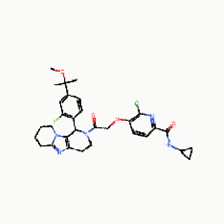 COC(C)(C)c1ccc(C2c3c(nc4n3CCCC4)CCN2C(=O)COc2ccc(C(=O)NC3CC3)nc2Cl)c(F)c1